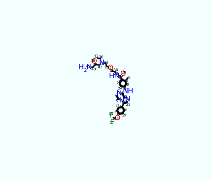 Cc1cc(Nc2nccn3c(-c4ccc(OC(F)F)cc4)cnc23)ccc1C(=O)NCCOCCN1CCOC(CN)C1